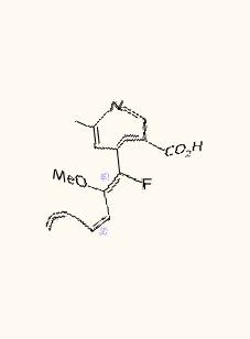 C=C/C=C\C(OC)=C(/F)c1cc(C)ncc1C(=O)O